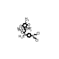 CCCC1C(=O)C(C)=CC(=O)C1(C)C(C)(C)CC(=O)N(C)c1ccc(N(CCCl)CCCl)cc1